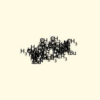 Cc1cc(C)c(Nc2nc(N(CCOCCN(c3cc(C)c(N=Nc4c(C#N)c(C(C)(C)C)nn4-c4nc(C)ns4)c(Nc4c(C)cc(C)cc4C)n3)c3c(C)cc(C)cc3C)c3c(C)cc(C)cc3C)cc(C)c2N=Nc2c(C#N)c(C(C)(C)C)nn2-c2nc(C)ns2)c(C)c1